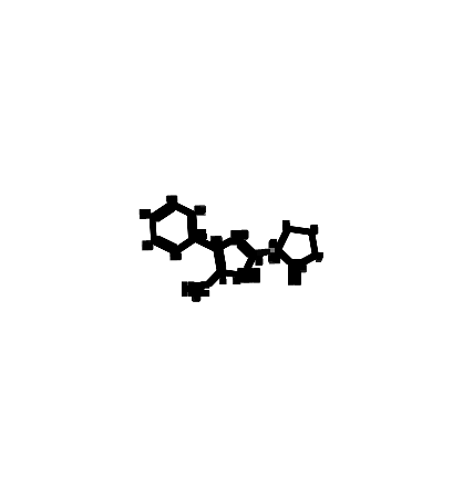 Cc1[nH]c([C@@H]2CCCN2)nc1-c1ccccc1